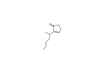 CCCCC(C)C1=CCCC1=O